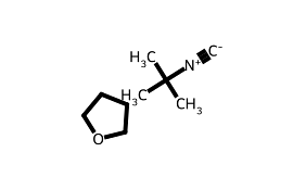 C1CCOC1.[C-]#[N+]C(C)(C)C